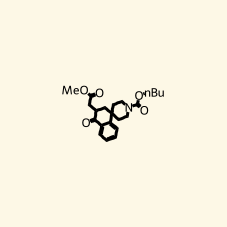 CCCCOC(=O)N1CCC2(CC1)CC(CC(=O)OC)C(=O)c1ccccc12